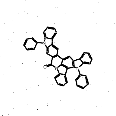 O=c1c2cc3c(cc2c2cc4c5ccccc5n(-c5ccccc5)c4c4c5ccccc5n1c24)c1ccccc1n3-c1ccccc1